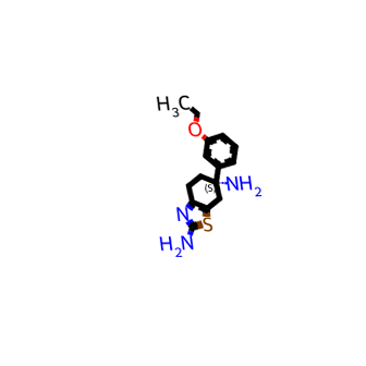 CCOc1cccc([C@]2(N)CCc3nc(N)sc3C2)c1